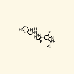 Cn1nc2c(F)cc(-c3nc(Nc4ccc5c(n4)CCNC5)ncc3F)cc2c1C1CC1